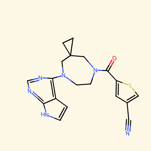 N#Cc1csc(C(=O)N2CCN(c3ncnc4[nH]ccc34)CC3(CC3)C2)c1